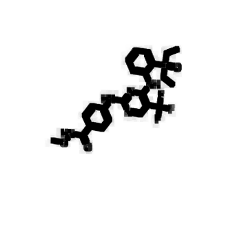 CCP(=O)(CC)c1ccccc1Nc1nc(Nc2ccc(C(=O)NOC)cc2)ncc1C(F)(F)F